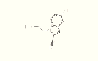 CCCn1c(C#N)cc2cc(C)ccc21